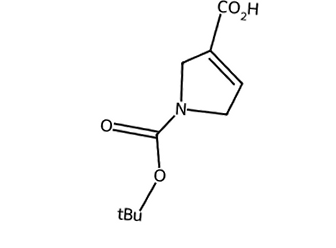 CC(C)(C)OC(=O)N1CC=C(C(=O)O)C1